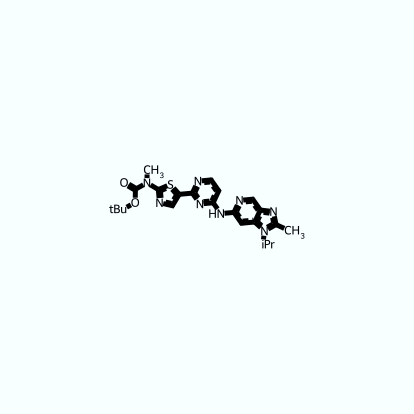 Cc1nc2cnc(Nc3ccnc(-c4cnc(N(C)C(=O)OC(C)(C)C)s4)n3)cc2n1C(C)C